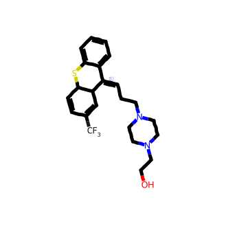 OCCN1CCN(CC/C=C2/c3ccccc3SC3C=CC(C(F)(F)F)=CC23)CC1